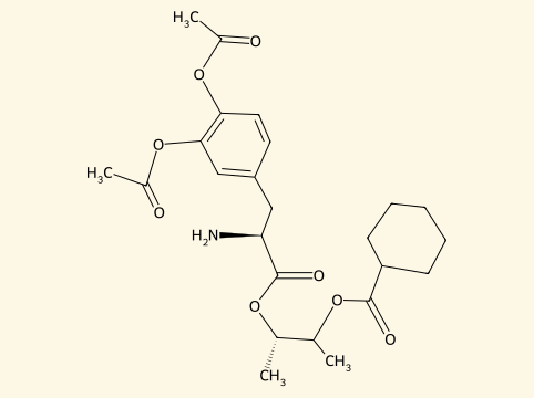 CC(=O)Oc1ccc(C[C@H](N)C(=O)O[C@@H](C)C(C)OC(=O)C2CCCCC2)cc1OC(C)=O